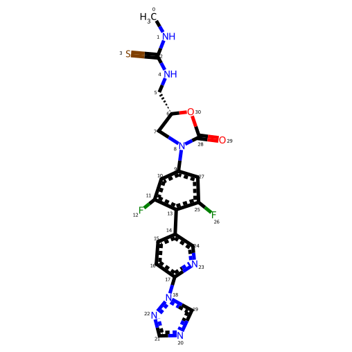 CNC(=S)NC[C@H]1CN(c2cc(F)c(-c3ccc(-n4cncn4)nc3)c(F)c2)C(=O)O1